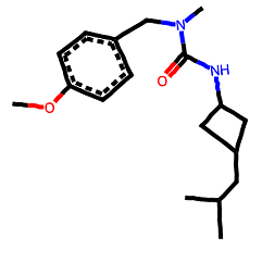 COc1ccc(CN(C)C(=O)NC2CC(CC(C)C)C2)cc1